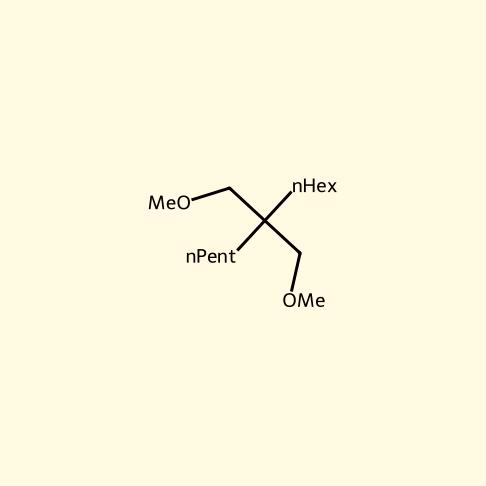 CCCCCCC(CCCCC)(COC)COC